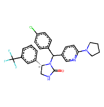 O=C1NC[C@H](c2cccc(C(F)(F)F)c2)N1C(c1ccc(Cl)cc1)c1ccc(N2CCCC2)nc1